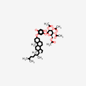 CC(=O)OC[C@H]1O[C@@](O)(Oc2ccc([O])c(OC3CC[C@@]4(C)C(CCC5C4CC[C@@]4(C)C5CC[C@@H]4[C@H](C)CCCC(C)C)C3)c2)[C@H](OC(C)=O)[C@@H](OC(C)=O)[C@@H]1OC(C)=O